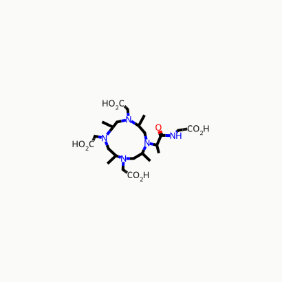 CC1CN(CC(=O)O)C(C)CN(C(C)C(=O)NCC(=O)O)C(C)CN(CC(=O)O)C(C)CN1CC(=O)O